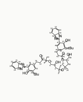 CC(C)(CC(O)COC(C)(C)C(=O)CCc1cc(-n2nc3ccccc3n2)c(O)c(C(C)(C)C)c1)OC(C)(C)CC(CO)OC(=O)CCc1cc(-n2nc3ccccc3n2)c(O)c(C(C)(C)C)c1